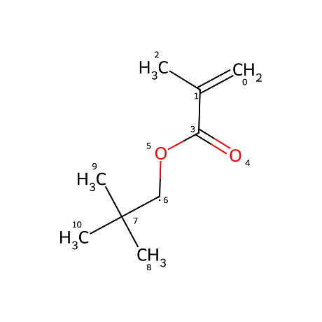 C=C(C)C(=O)O[CH]C(C)(C)C